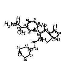 Cc1nc[nH]c1-c1nc2ccc(C(O)NN)cn2c1NCCN1CCOCC1